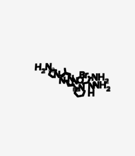 Cc1cn2nc([C@@H]3CCCCN3C(=O)C(NN)C(N)Br)cc2nc1N1CC[C@H](N)C1